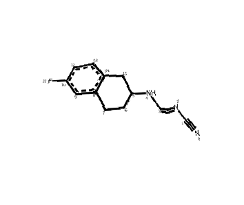 N#CN=CNC1CCc2cc(F)ccc2C1